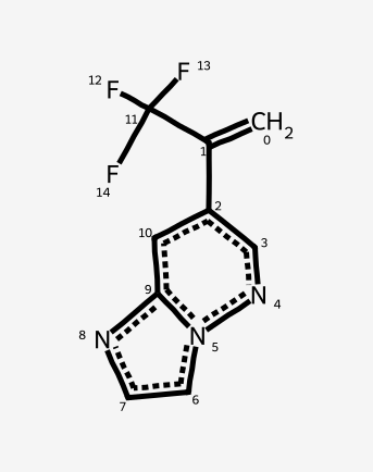 C=C(c1cnn2ccnc2c1)C(F)(F)F